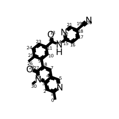 Cc1cc2c(cn1)cc(-c1cc(C(=O)Nc3ccc(C#N)cn3)ccc1C)c(=O)n2C